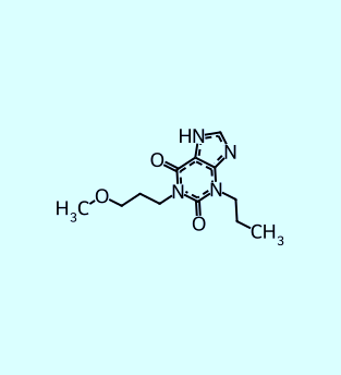 CCCn1c(=O)n(CCCOC)c(=O)c2[nH]cnc21